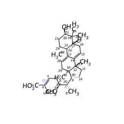 CC(=O)O[C@@H](C/C=C(\C)C(=O)O)[C@@H](C)[C@H]1CC[C@@]2(C)C3=CC[C@H]4C(C)(C)[C@H](O)CC[C@]4(C)C3=CC[C@]12C